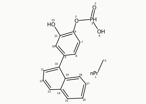 CCCC.O=[PH](O)Oc1ccc(-c2cccc3ccccc23)cc1O